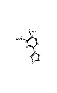 COc1ccc(-c2ccoc2)cc1OC